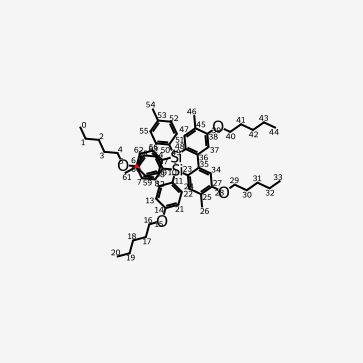 CCCCCOc1ccc([Si]2(c3ccc(OCCCCC)cc3)c3cc(C)c(OCCCCC)cc3-c3cc(OCCCCC)c(C)cc3[Si]2(c2ccc(C)cc2)c2ccc(C)cc2)cc1